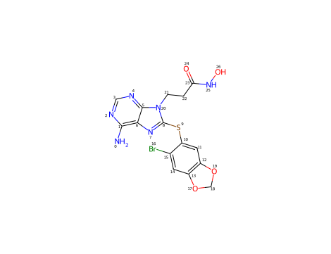 Nc1ncnc2c1nc(Sc1cc3c(cc1Br)OCO3)n2CCC(=O)NO